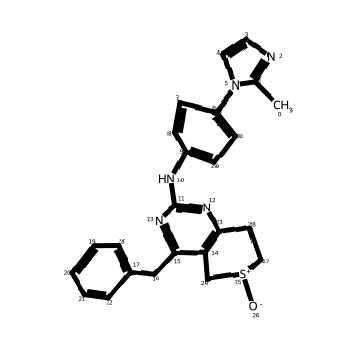 Cc1nccn1-c1ccc(Nc2nc3c(c(Cc4ccccc4)n2)C[S+]([O-])CC3)cc1